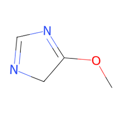 COC1=NC=NC1